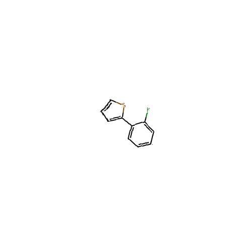 Fc1c[c]ccc1-c1cccs1